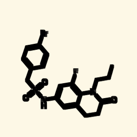 CCCN1C(=O)CCc2cc(NS(=O)(=O)Cc3ccc(Br)cc3)cc(F)c21